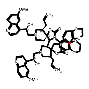 C=CCC1CN(C[C@@H](O)c2ccnc3ccc(OC)cc23)CC(C2N(c3ccc4c(c3)OCCO4)C(=O)O[C@]23CCN(C[C@H](O)c2ccnc4ccc(OC)cc24)C[C@H]3CC=C)C12CN(c1ccc3c(c1)OCCO3)C(=O)O2